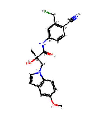 COc1ccc2c(ccn2C[C@](C)(O)C(=O)Nc2ccc(C#N)c(CF)c2)c1